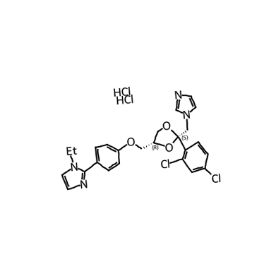 CCn1ccnc1-c1ccc(OC[C@@H]2CO[C@@](Cn3ccnc3)(c3ccc(Cl)cc3Cl)O2)cc1.Cl.Cl